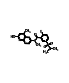 Cc1cc(O)nc2ccc(N(C)C(=O)c3cc(S(=O)(=O)N(C)C)ccc3F)cc12